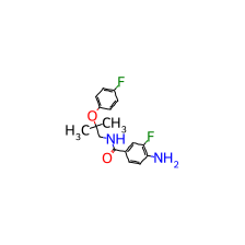 CC(C)(CNC(=O)c1ccc(N)c(F)c1)Oc1ccc(F)cc1